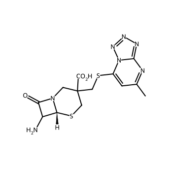 Cc1cc(SCC2(C(=O)O)CS[C@@H]3C(N)C(=O)N3C2)n2nnnc2n1